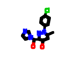 Cc1cc(=O)c(C(=O)n2ccnc2)nn1-c1ccc(Cl)cc1